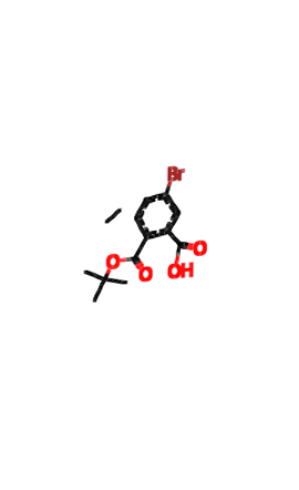 CC.CC(C)(C)OC(=O)c1ccc(Br)cc1C(=O)O